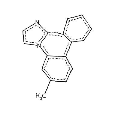 Cc1ccc2c3ccccc3c3nccn3c2c1